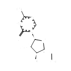 Nc1ncn([C@H]2S[C@H](CO)[C@@H](O)[C@@H]2F)c(=O)n1